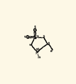 CC1CS(=O)(=O)C[C@H]1C